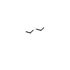 CCNCC.Cl.Cl.Cl